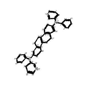 c1ccc(N(c2cccnc2)c2ccc3c(c2)CCC2=C3CCc3cc(N(c4ccccc4)c4cccnc4)ccc32)cc1